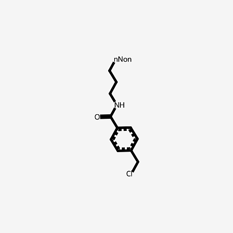 CCCCCCCCCCCCNC(=O)c1ccc(CCl)cc1